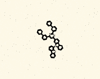 C1=CCC(c2cccc(-c3cc(-c4ccc5c(c4)N(c4cccc6c4sc4ccccc46)C4=CC=CCC45)nc(C4=CC=CC(c5ccccc5)C4)n3)c2)C=C1